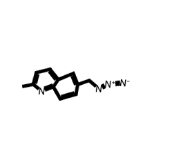 Cc1ccc2cc(CN=[N+]=[N-])ccc2n1